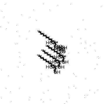 CC(O)(P(=O)([O-])[O-])P(=O)([O-])[O-].CCCCCCCCCCC(O)C[N+](C)(C)CCO.CCCCCCCCCCC(O)C[N+](C)(C)CCO.CCCCCCCCCCC(O)C[N+](C)(C)CCO.CCCCCCCCCCC(O)C[N+](C)(C)CCO